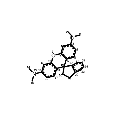 CN(C)c1ccc2c(c1)Oc1cc(N(C)C)ccc1C21CCc2ccccc21